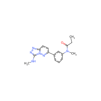 CCC(=O)N(C)c1cccc(-c2ccc3nnc(NC)n3n2)c1